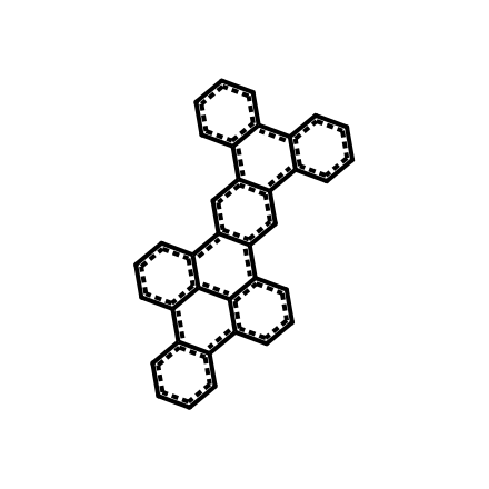 c1ccc2c(c1)c1ccccc1c1cc3c(cc21)c1cccc2c4ccccc4c4cccc3c4c21